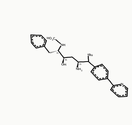 CC(C)(C)C(c1ccc(-c2ccccn2)cc1)[C@@H](N)C[C@@H](O)[C@H](Cc1ccccc1)NC(=O)O